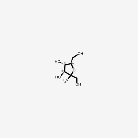 NC1(CO)O[C@H](CO)[C@@H](O)[C@@H]1O